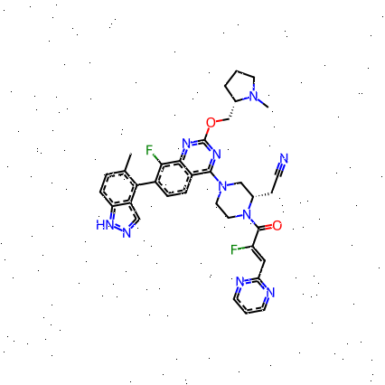 Cc1ccc2[nH]ncc2c1-c1ccc2c(N3CCN(C(=O)/C(F)=C/c4ncccn4)[C@@H](CC#N)C3)nc(OC[C@@H]3CCCN3C)nc2c1F